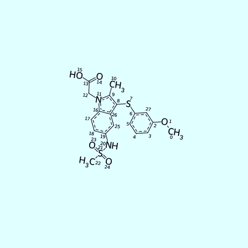 COc1cccc(Sc2c(C)n(CC(=O)O)c3ccc(NS(C)(=O)=O)cc23)c1